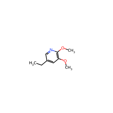 CCc1cnc(OC)c(OC)c1